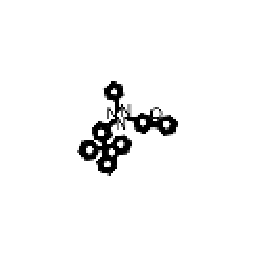 c1ccc(-c2nc(-c3cccc(C4(c5ccccc5)c5ccccc5-c5ccccc54)c3)nc(-c3ccc4c(c3)oc3ccccc34)n2)cc1